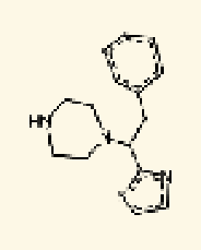 c1ccc(CC(c2nccs2)N2CCNCC2)cc1